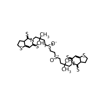 CC(C)(CC[S+]([O-])CC[S+]([O-])CCC(C)(C)CN1C(=S)C=C2SCCC2C1=S)CN1C(=S)C=C2SCCC2C1=S